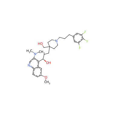 COc1ccc2ncc(N(C)C)c([C@H](O)CCC3(CO)CCN(CCCc4cc(F)c(F)c(F)c4)CC3)c2c1